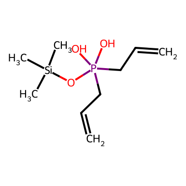 C=CCP(O)(O)(CC=C)O[Si](C)(C)C